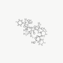 CNC(C(=O)N[C@H](C(=O)N(C)[C@H](CN1CCCC[C@H]1C(=O)N1CCCC[C@H]1C(=O)O)C(C)C)C(C)(C)C)C(C)(C)c1ccccc1